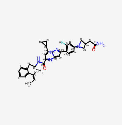 C/C=C(/C)c1ccccc1CCNC(=O)c1cc(C2CC2)n2nc(-c3ccc(N4CC(CC(N)=O)C4)cc3F)cc2n1